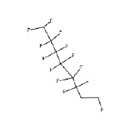 F[CH]CC(F)(F)C(F)(F)C(F)(F)C(F)(F)C(F)(F)C(F)F